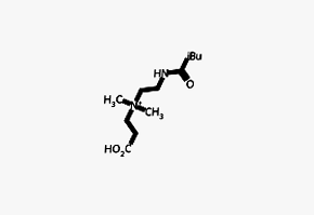 CCC(C)C(=O)NCC[N+](C)(C)CCC(=O)O